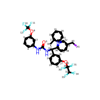 O=C(Nc1cccc(OC(F)(F)F)c1)N[C@](Cc1ccccc1)(c1cccc(OC(F)(F)C(F)F)c1)c1ccc(CI)cn1